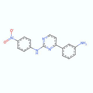 Nc1cccc(-c2ccnc(Nc3ccc([N+](=O)[O-])cc3)n2)c1